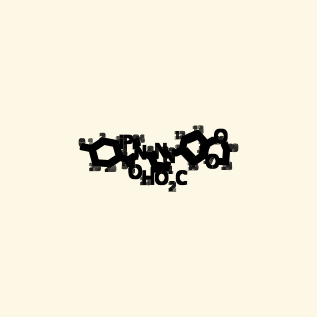 CC1CCC(C(=O)N(c2nn(-c3ccc4c(c3)OCCO4)cc2C(=O)O)C(C)C)CC1